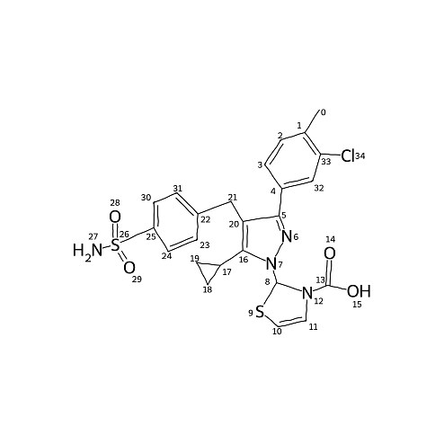 Cc1ccc(-c2nn(C3SC=CN3C(=O)O)c(C3CC3)c2Cc2ccc(S(N)(=O)=O)cc2)cc1Cl